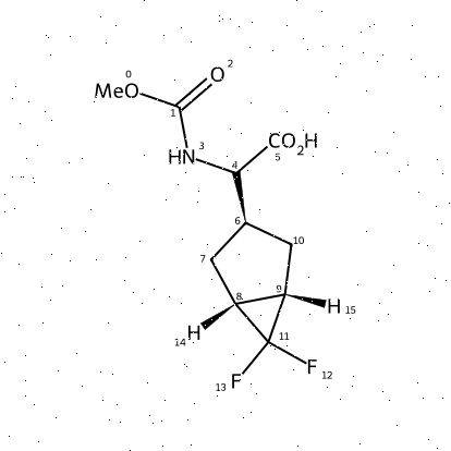 COC(=O)NC(C(=O)O)[C@@H]1C[C@@H]2[C@H](C1)C2(F)F